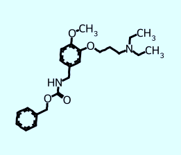 CCN(CC)CCCOc1cc(CNC(=O)OCc2ccccc2)ccc1OC